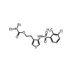 CCN(CC)C(=O)OCCc1cscc1NS(=O)(=O)c1cccc(Cl)c1C